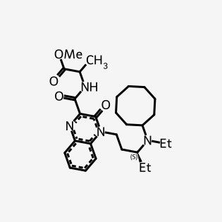 CC[C@@H](CCn1c(=O)c(C(=O)NC(C)C(=O)OC)nc2ccccc21)N(CC)C1CCCCCCC1